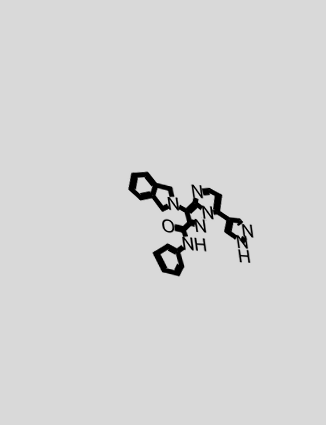 O=C(Nc1ccccc1)c1nn2c(-c3cn[nH]c3)ccnc2c1N1Cc2ccccc2C1